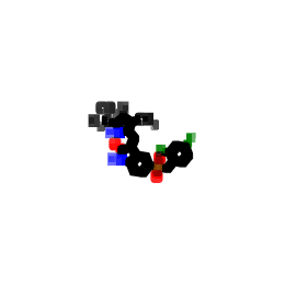 Cc1[nH]c(/C=C2\C(=O)Nc3ccc(S(=O)(=O)Cc4ccc(F)cc4F)cc32)c(C)c1C(=O)O